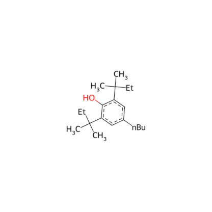 CCCCc1cc(C(C)(C)CC)c(O)c(C(C)(C)CC)c1